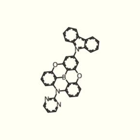 c1cnc(N2c3cccc4c3B3c5c(cc(-n6c7ccccc7c7ccccc76)cc5Oc5cccc2c53)O4)nc1